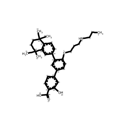 CCCNCCCOc1ccc(-c2ccc(C(=O)O)c(O)c2)cc1-c1ccc2c(c1)C(C)(C)CCC2(C)C